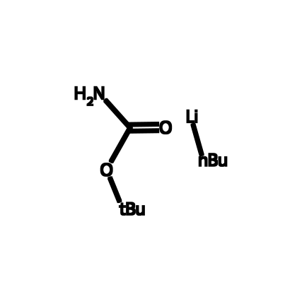 CC(C)(C)OC(N)=O.[Li][CH2]CCC